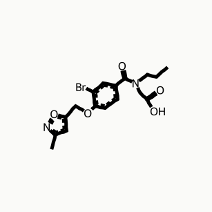 CCCN(CC(=O)O)C(=O)c1ccc(OCc2cc(C)no2)c(Br)c1